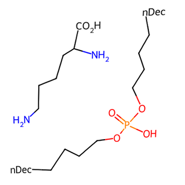 CCCCCCCCCCCCCCOP(=O)(O)OCCCCCCCCCCCCCC.NCCCCC(N)C(=O)O